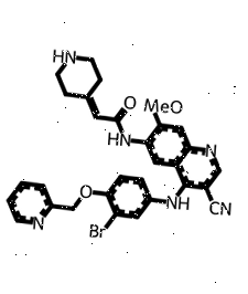 COc1cc2ncc(C#N)c(Nc3ccc(OCc4ccccn4)c(Br)c3)c2cc1NC(=O)C=C1CCNCC1